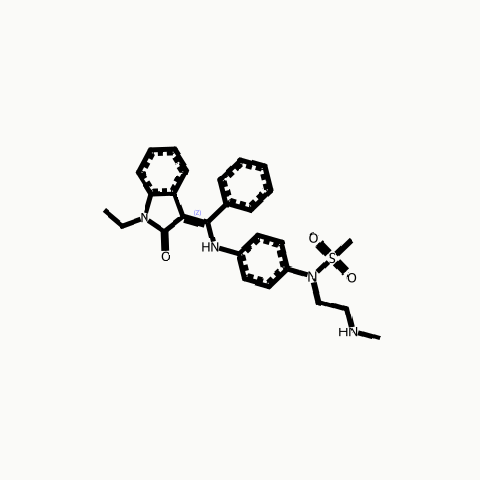 CCN1C(=O)/C(=C(\Nc2ccc(N(CCNC)S(C)(=O)=O)cc2)c2ccccc2)c2ccccc21